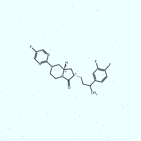 CC(CC[C@H]1C[C@H]2CN(c3ncc(F)cn3)CCN2C1=O)c1ccc(F)c(F)c1